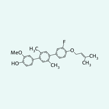 COc1cc(-c2cc(C)c(-c3ccc(OCC=C(C)C)c(F)c3)cc2C)ccc1O